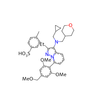 CCc1nn2c(-c3c(OC)cc(COC)cc3OC)cccc2c1N(CC1CCOCC1)CC1CC1.Cc1ccc(S(=O)(=O)O)cc1